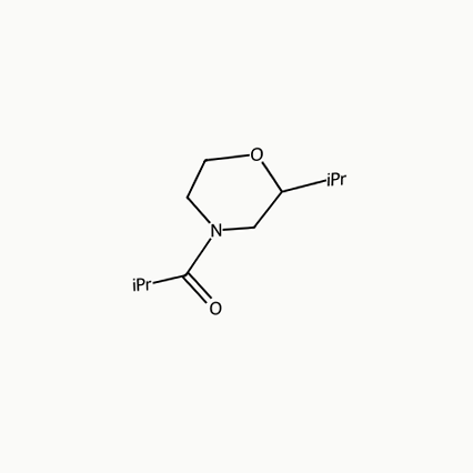 CC(C)C(=O)N1CCOC(C(C)C)C1